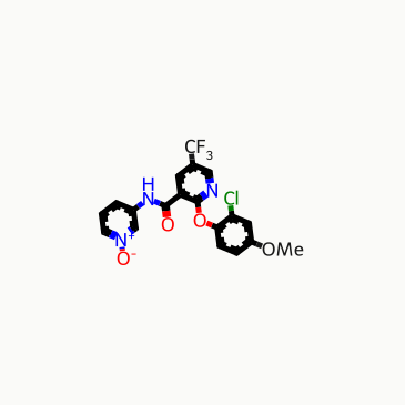 COc1ccc(Oc2ncc(C(F)(F)F)cc2C(=O)Nc2ccc[n+]([O-])c2)c(Cl)c1